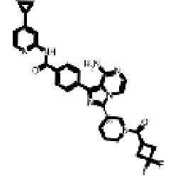 Nc1nccn2c([C@@H]3CCCN(C(=O)C4CC(F)(F)C4)C3)nc(-c3ccc(C(=O)Nc4cc(C5CC5)ccn4)cc3)c12